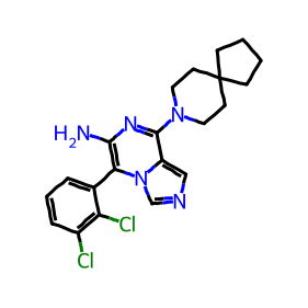 Nc1nc(N2CCC3(CCCC3)CC2)c2cncn2c1-c1cccc(Cl)c1Cl